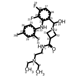 CCN(CC)CCNC(=O)C1CN(C(O)c2ccc(F)c(F)c2Nc2ccc(I)cc2F)C1